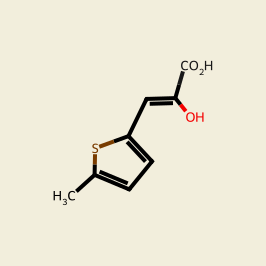 Cc1ccc(C=C(O)C(=O)O)s1